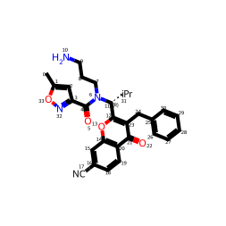 Cc1cc(C(=O)N(CCCN)[C@@H](c2oc3cc(C#N)ccc3c(=O)c2Cc2ccccc2)C(C)C)no1